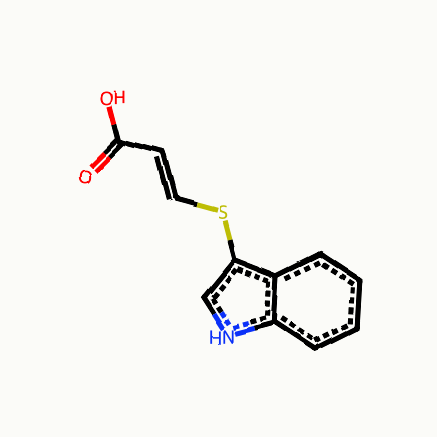 O=C(O)/C=C/Sc1c[nH]c2ccccc12